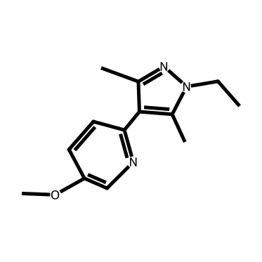 CCn1nc(C)c(-c2ccc(OC)cn2)c1C